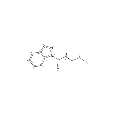 O=C(NCCCl)n1ncc2ccccc21